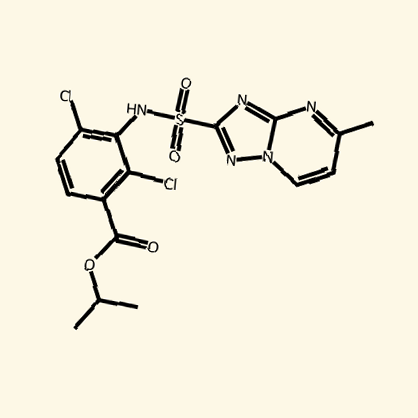 Cc1ccn2nc(S(=O)(=O)Nc3c(Cl)ccc(C(=O)OC(C)C)c3Cl)nc2n1